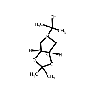 CC1(C)O[C@H]2CN(C(C)(C)C)C[C@H]2O1